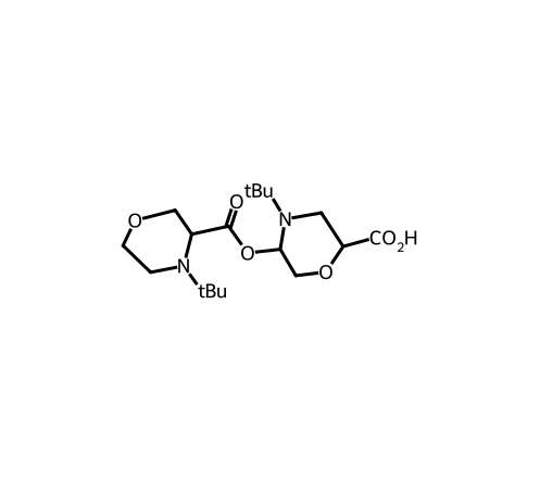 CC(C)(C)N1CC(C(=O)O)OCC1OC(=O)C1COCCN1C(C)(C)C